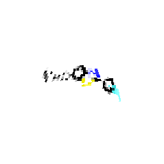 COc1ccc2nc(-c3ccc([18F])cc3)sc2c1